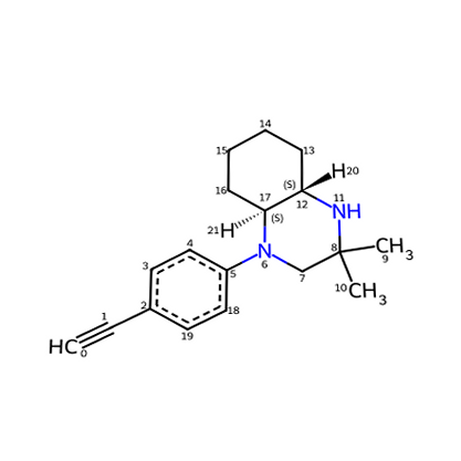 C#Cc1ccc(N2CC(C)(C)N[C@H]3CCCC[C@@H]32)cc1